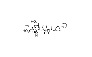 C=CCOC(O)(CC(O)C(C[C@@H](O)[C@H](O)CNC(=O)Cc1ccc(-c2ccccc2)cc1)NC(=O)CO)C(=O)O